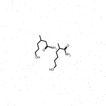 CC(CCCCO)C(N)=O.CC(CCCO)CC(N)=O